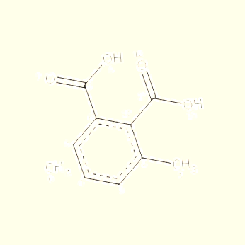 C.Cc1cccc(C(=O)O)c1C(=O)O